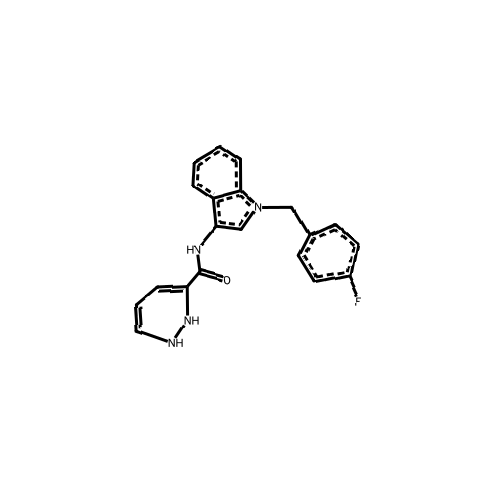 O=C(Nc1cn(Cc2ccc(F)cc2)c2ccccc12)C1=CC=CNN1